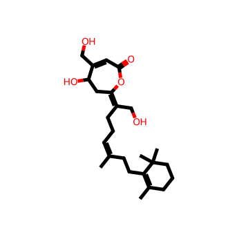 CC(=CCCC(CO)=C1CC(O)C(CO)=CC(=O)O1)CCC1=C(C)CCCC1(C)C